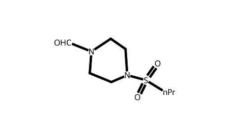 CCCS(=O)(=O)N1CCN(C=O)CC1